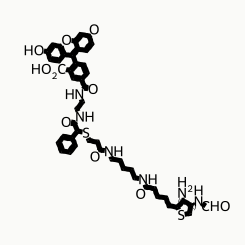 N[C@@H]1C(CCCCC(=O)NCCCCCNC(=O)CCSC(C(=O)NCCNC(=O)c2ccc(-c3c4ccc(=O)cc-4oc4cc(O)ccc34)c(C(=O)O)c2)c2ccccc2)SC[C@@H]1NC=O